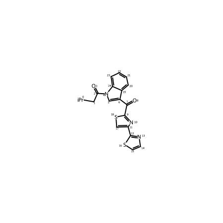 CC(C)CC(=O)n1cc(C(=O)c2nc(-c3nccs3)cs2)c2ccccc21